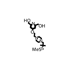 CSSC(C)(C)CN1CCN(CCOc2cc(CO)nc(CO)c2)CC1